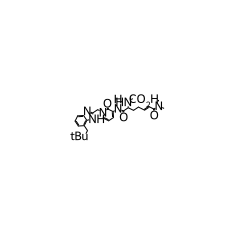 CN(C)C(=O)C=CCCC(NC(=O)O)C(=O)Nc1cccn(Cc2nc3cccc(CC(C)(C)C)c3[nH]2)c1=O